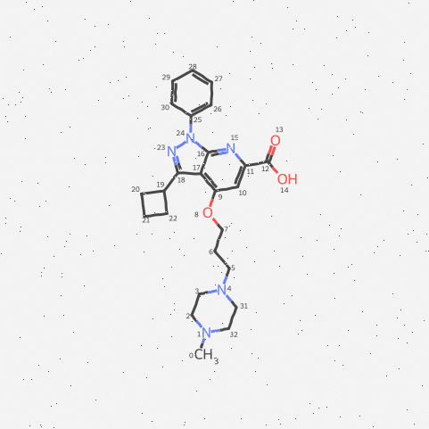 CN1CCN(CCCOc2cc(C(=O)O)nc3c2c(C2CCC2)nn3-c2ccccc2)CC1